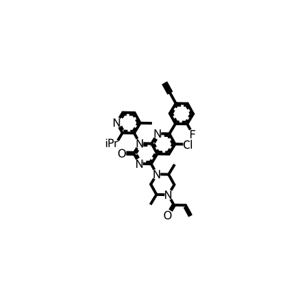 C#Cc1ccc(F)c(-c2nc3c(cc2Cl)c(N2CC(C)N(C(=O)C=C)CC2C)nc(=O)n3-c2c(C)ccnc2C(C)C)c1